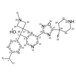 CC(C)c1ccc([C@](O)(c2cncc(-c3noc(C4(F)CCNCC4)n3)c2)C2(C)CN(C)C2)cc1